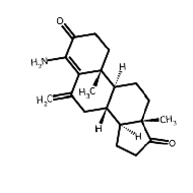 C=C1C[C@@H]2[C@H](CC[C@]3(C)C(=O)CC[C@@H]23)[C@@]2(C)CCC(=O)C(N)=C12